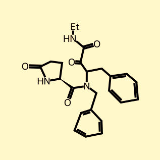 CCNC(=O)C(=O)C(Cc1ccccc1)N(Cc1ccccc1)C(=O)[C@@H]1CCC(=O)N1